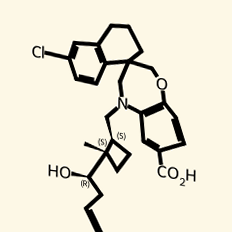 C=CC[C@@H](O)[C@@]1(C)CC[C@@H]1CN1CC2(CCCc3cc(Cl)ccc32)COc2ccc(C(=O)O)cc21